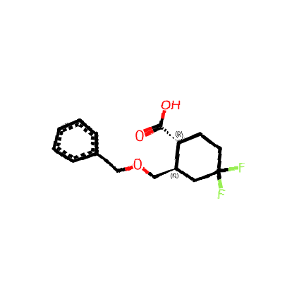 O=C(O)[C@@H]1CCC(F)(F)C[C@H]1COCc1ccccc1